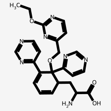 CCOc1nccc(COC2(c3ccncn3)C(c3ccncn3)=CC=CC2CC(N)C(=O)O)n1